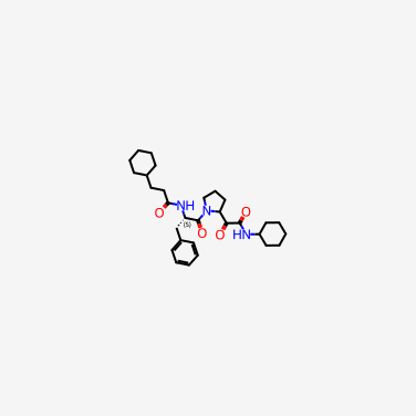 O=C(CCC1CCCCC1)N[C@@H](Cc1ccccc1)C(=O)N1CCCC1C(=O)C(=O)NC1CCCCC1